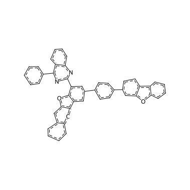 c1ccc(-c2nc(-c3cc(-c4ccc(-c5ccc6c(c5)oc5ccccc56)cc4)cc4c3oc3cc5ccccc5cc34)nc3ccccc23)cc1